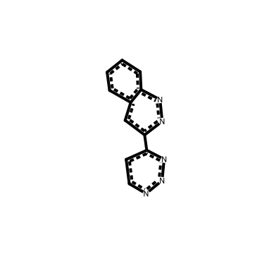 c1ccc2nnc(-c3ccnnn3)cc2c1